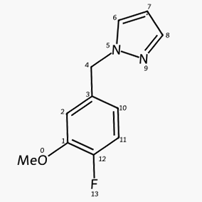 COc1cc(Cn2c[c]cn2)ccc1F